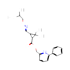 CC(C)CON=CC1C(C(=O)OCc2cccc(-c3ccccc3)n2)C1(C)C